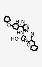 N#C/C(=C/c1ccccc1)C(=O)N1C[C@H](O)[C@H](Nc2ncnc(N)c2-c2ccc(Oc3ccccc3)cc2)C1